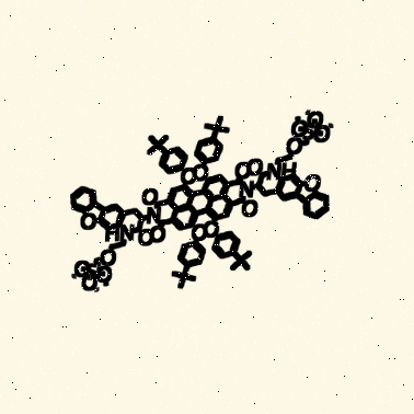 CO[Si](COCCNC(=O)C(Cc1ccc2oc3ccccc3c2c1)N1C(=O)c2cc(Oc3ccc(C(C)(C)C)cc3)c3c4c(Oc5ccc(C(C)(C)C)cc5)cc5c6c(cc(Oc7ccc(C(C)(C)C)cc7)c(c7c(Oc8ccc(C(C)(C)C)cc8)cc(c2c37)C1=O)c64)C(=O)N(C(Cc1ccc2oc3ccccc3c2c1)C(=O)NCCOC[Si](OC)(OC)OC)C5=O)(OC)OC